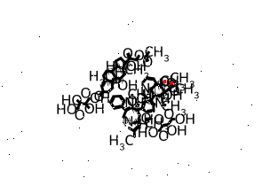 CC(=O)OCC(=O)[C@@]1(O)CC[C@H]2[C@@H]3CCC4=CC(=O)CC[C@]4(C)[C@H]3[C@@H](O)C[C@@]21C.CCC1=C[C@@H]2C[N@](C1)Cc1c([nH]c3ccccc13)[C@@](C(=O)OC)(c1cc3c(cc1OC)N(C)[C@H]1[C@@](O)(C(=O)OC)[C@H](OC(C)=O)[C@]4(CC)C=CCN5CC[C@]31[C@@H]54)C2.O=C(O)C(O)C(O)C(=O)O.O=C(O)C(O)C(O)C(=O)O